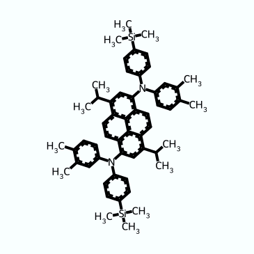 Cc1ccc(N(c2ccc([Si](C)(C)C)cc2)c2cc(C(C)C)c3ccc4c(N(c5ccc([Si](C)(C)C)cc5)c5ccc(C)c(C)c5)cc(C(C)C)c5ccc2c3c54)cc1C